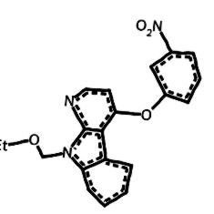 CCOCn1c2ccccc2c2c(Oc3cccc([N+](=O)[O-])c3)ccnc21